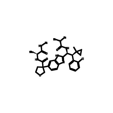 CCNC(=O)[C@H](NC(=O)C1(c2ccc3nc([C@@H](NC(=O)N(CC)CC)[C@H](c4ccccc4Cl)C4(C)CC4)[nH]c3c2)CCOC1)C(C)(C)C